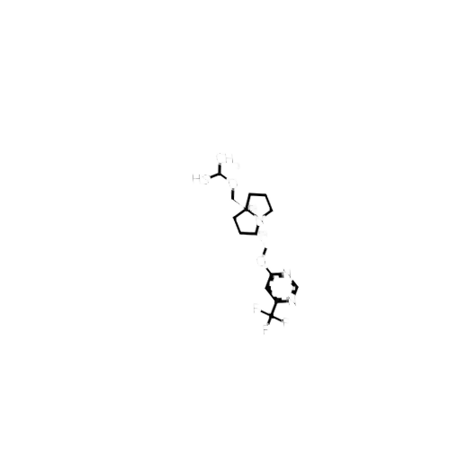 CC(S)OC[C@@]12CCCN1[C@H](COc1cc(C(F)(F)F)ncn1)CC2